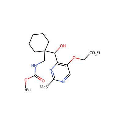 CCOC(=O)COc1cnc(SC)nc1C(O)C1(CNC(=O)OC(C)(C)C)CCCCC1